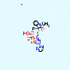 CCC1(CCCCN2CCN(c3ncccn3)CC2)C(=O)N(C)c2ccccc21.O=C(O)C(=O)O